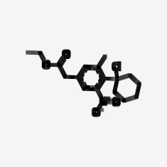 CCOC(=O)Cc1cc(C)c(C2(Cl)CCCCC2)c([N+](=O)[O-])c1